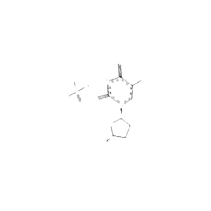 Cc1cn([C@H]2CC[C@@H](C)O2)c(=O)[nH]c1=O.O=P(O)(O)O